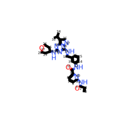 C=CC(=O)Nc1cccc(C(=O)Nc2cccc(CNc3nc(NC4CCOCC4)nc4c(C(C)C)cnn34)c2)n1